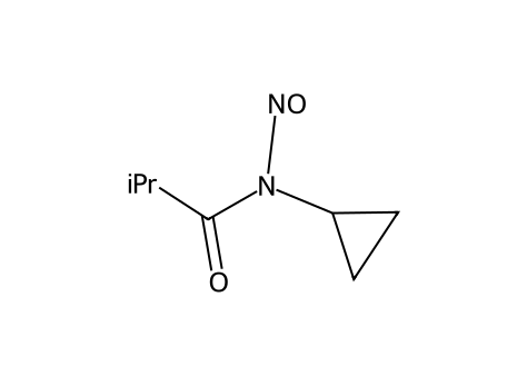 CC(C)C(=O)N(N=O)C1CC1